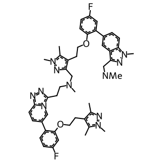 CNCc1nn(C)c2ccc(-c3cc(F)ccc3OCCc3c(CN(C)CCc4nnc5ccc(-c6ccc(F)cc6OCCc6c(C)nn(C)c6C)cn45)nn(C)c3C)cc12